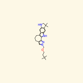 CC1(C)CNc2cc3c4c([nH]c3cc21)-c1nn(COCC[Si](C)(C)C)cc1CCC4